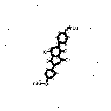 CCCCOc1ccc(C2=CC(=O)c3c(O)c(-c4ccc(OCCCC)cc4)cc(O)c3C2=O)cc1